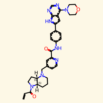 C=CC(=O)N1CC[C@H]2[C@@H]1CCCN2Cc1ccnc(C(=O)Nc2ccc(-c3cc4c(N5CCOCC5)ncnc4[nH]3)cc2)c1